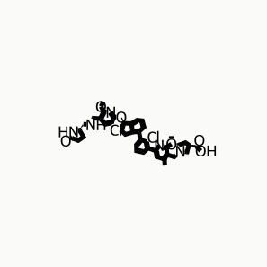 COc1nc(O[C@H]2CCc3c(-c4cccc(-c5cc(C)c(CN6CC[C@@H](C(=O)O)C6)c(OC)n5)c4Cl)cccc32)c(Cl)cc1CNC[C@@H]1CCC(=O)N1